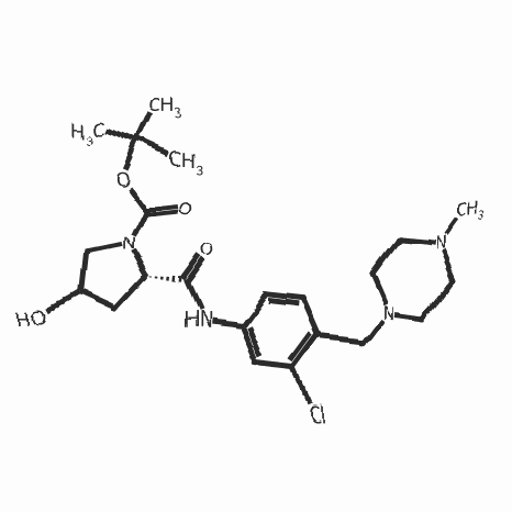 CN1CCN(Cc2ccc(NC(=O)[C@@H]3CC(O)CN3C(=O)OC(C)(C)C)cc2Cl)CC1